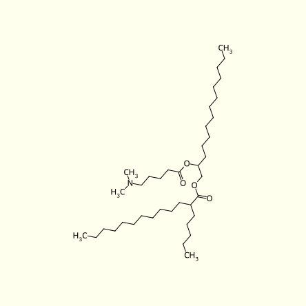 CCCCCCCCCCCCC(COC(=O)C(CCCCC)CCCCCCCCCCC)OC(=O)CCCCN(C)C